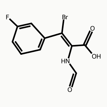 O=CNC(C(=O)O)=C(Br)c1cccc(F)c1